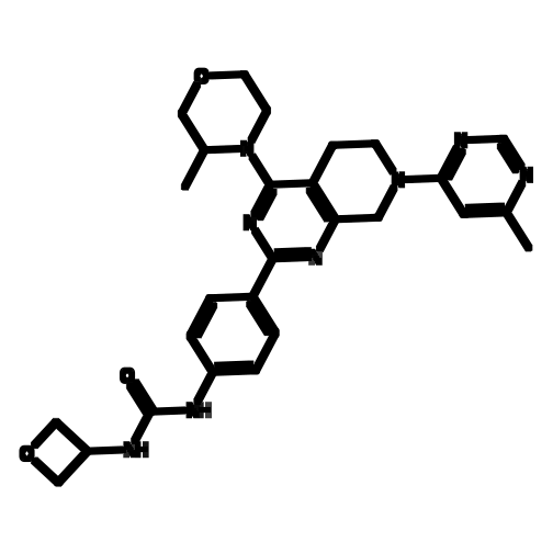 Cc1cc(N2CCc3c(nc(-c4ccc(NC(=O)NC5COC5)cc4)nc3N3CCOCC3C)C2)ncn1